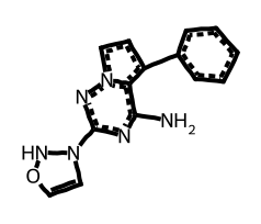 Nc1nc(N2C=CON2)nn2ccc(-c3ccccc3)c12